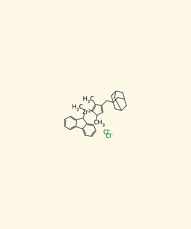 [CH2]=[Zr+2]([C]1=C(C)C(CC23CC4CC(CC(C4)C2)C3)=CC1C)[CH]1c2ccccc2-c2ccccc21.[Cl-].[Cl-]